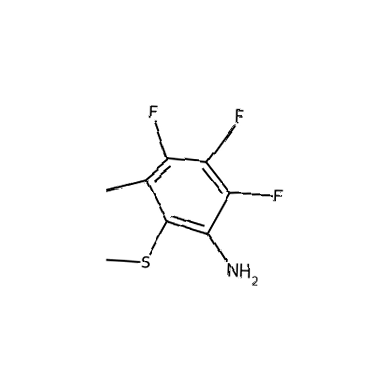 CSc1c(C)c(F)c(F)c(F)c1N